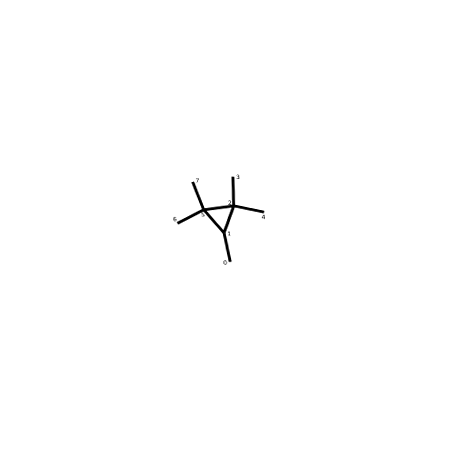 C[C]1C(C)(C)C1(C)C